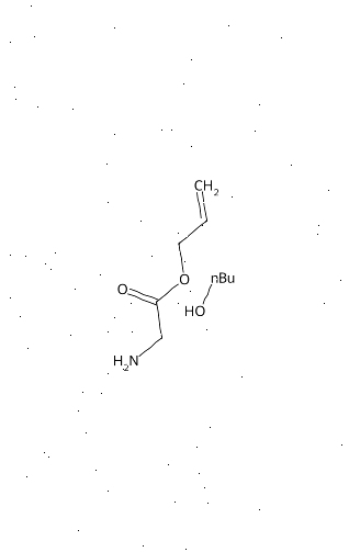 C=CCOC(=O)CN.CCCCO